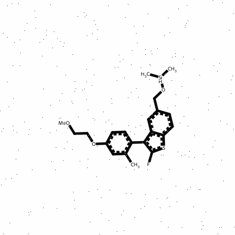 COCCOc1ccc(-c2c(F)sc3ccc(CO[SiH](C)C)cc23)c(C)c1